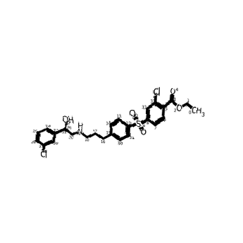 CCOC(=O)c1ccc(S(=O)(=O)c2ccc(CCCNC[C@H](O)c3cccc(Cl)c3)cc2)cc1Cl